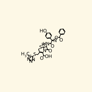 Cn1nnnc1SCC1=C(C(=O)O)N2C(=O)C(NC(=O)/C(=N/OC(=O)c3ccccc3)c3ccc(O)cc3)[C@H]2SC1